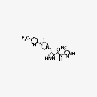 CC1CN(Cc2c[nH]nc2C(=O)Nc2n[nH]cc2C#N)CCN1c1ccc(C(F)(F)F)cn1